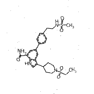 CCS(=O)(=O)N1CCC(c2c[nH]c3c(C(N)=O)cc(-c4ccc(CCNS(C)(=O)=O)cc4)cc23)CC1